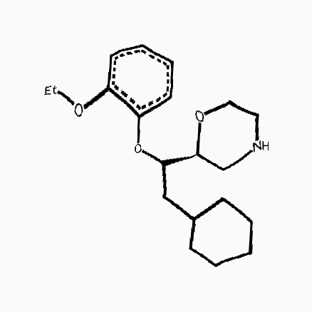 CCOc1ccccc1OC(CC1CCCCC1)[C@@H]1CNCCO1